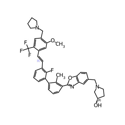 COc1cc(/C=C/c2cccc(-c3cccc(-c4nc5cc(CN6CC[C@@H](O)C6)ccc5o4)c3C)c2F)c(C(F)(F)F)cc1CN1CCCC1